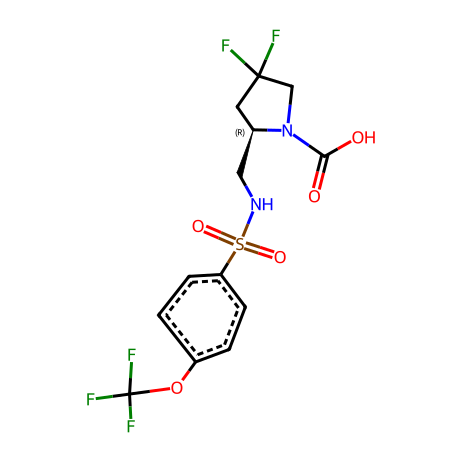 O=C(O)N1CC(F)(F)C[C@@H]1CNS(=O)(=O)c1ccc(OC(F)(F)F)cc1